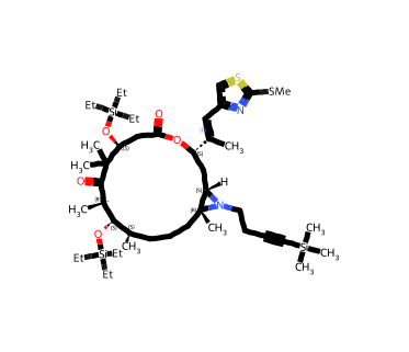 CC[Si](CC)(CC)O[C@H]1[C@@H](C)CCC[C@]2(C)[C@H](C[C@@H](/C(C)=C/c3csc(SC)n3)OC(=O)C[C@H](O[Si](CC)(CC)CC)C(C)(C)C(=O)[C@@H]1C)N2CCC#C[Si](C)(C)C